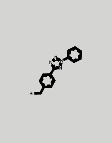 BrCc1ccc(-c2nnn(-c3ccccc3)n2)cc1